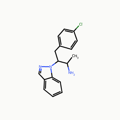 CC(N)C(Cc1ccc(Cl)cc1)n1ncc2ccccc21